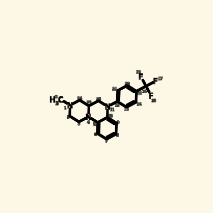 CN1CCN2c3ccccc3N(c3ccc(C(F)(F)F)cc3)CC2C1